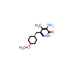 CO[C@H]1CC[C@@H](Cc2c[nH]c(=O)c(N)c2C)CC1